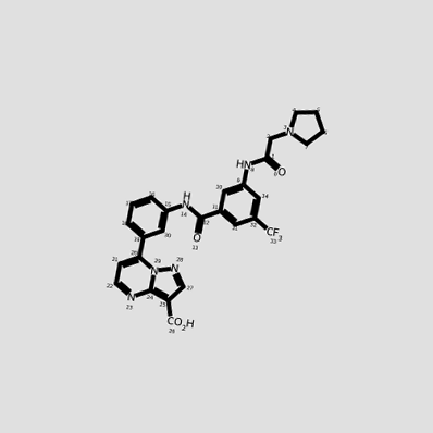 O=C(CN1CCCC1)Nc1cc(C(=O)Nc2cccc(-c3ccnc4c(C(=O)O)cnn34)c2)cc(C(F)(F)F)c1